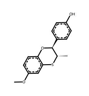 COc1ccc2c(c1)S[C@@H](C)[C@H](c1ccc(O)cc1)O2